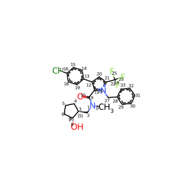 CN(C[C@@H]1CCC[C@H]1O)C(=O)c1c(-c2ccc(Cl)cc2)cc(C(F)(F)F)n1Cc1ccccc1